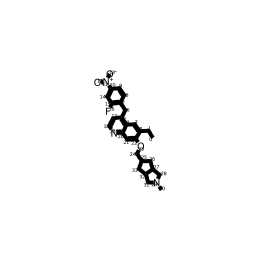 CCc1cc2c(Cc3ccc([N+](=O)[O-])cc3F)ccnc2cc1OCC1CC2CN(C)CC2C1